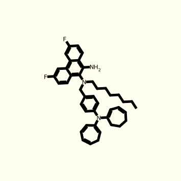 CCCCCCCCN(Cc1ccc(N(C2=CCC=CC=C2)C2=CC=CCCC2)cc1)c1c(N)c2ccc(F)cc2c2cc(F)ccc12